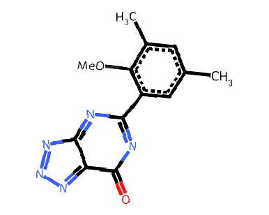 COc1c(C)cc(C)cc1C1=NC(=O)C2=NN=NC2=N1